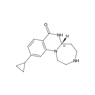 O=C1N[C@@H]2CCNCCN2c2cc(C3CC3)ccc21